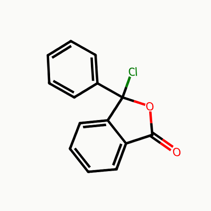 O=C1OC(Cl)(c2ccccc2)c2ccccc21